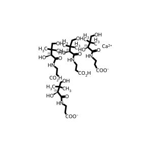 CC(C)(CO)[C@H](O)C(=O)NCCC(=O)O.CC(C)(CO)[C@H](O)C(=O)NCCC(=O)O.CC(C)(CO)[C@H](O)C(=O)NCCC(=O)[O-].CC(C)(CO)[C@H](O)C(=O)NCCC(=O)[O-].[Ca+2]